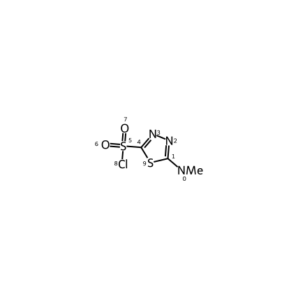 CNc1nnc(S(=O)(=O)Cl)s1